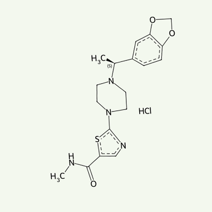 CNC(=O)c1cnc(N2CCN([C@@H](C)c3ccc4c(c3)OCO4)CC2)s1.Cl